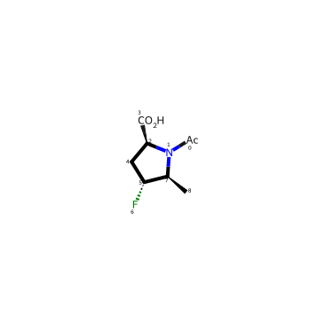 CC(=O)N1[C@H](C(=O)O)C[C@@H](F)[C@@H]1C